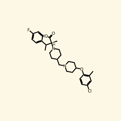 Cc1cc(Cl)ccc1OC1CCN(CC2CCN([C@@](C)(C(=O)O)C(C)c3ccc(F)cc3)CC2)CC1